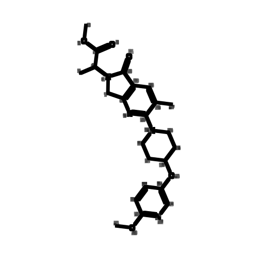 COC(=O)C(C)N1Cc2nc(N3CCC(Oc4ccc(OC)nc4)CC3)c(C)cc2C1=O